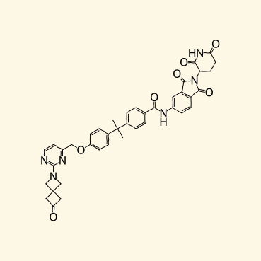 CC(C)(c1ccc(OCc2ccnc(N3CC4(CC(=O)C4)C3)n2)cc1)c1ccc(C(=O)Nc2ccc3c(c2)C(=O)N(C2CCC(=O)NC2=O)C3=O)cc1